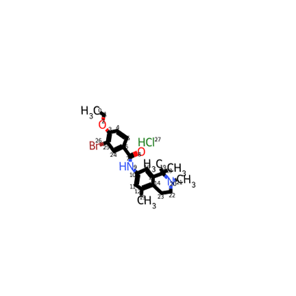 CCOc1ccc(C(=O)Nc2cc(C)c3c(c2)C(C)(C)N(C)CC3)cc1Br.Cl